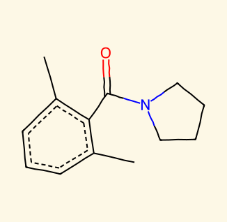 Cc1cccc(C)c1C(=O)N1CCCC1